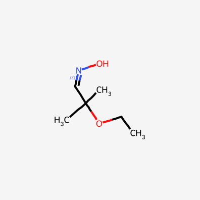 CCOC(C)(C)/C=N\O